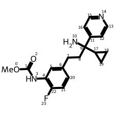 COC(=O)Nc1cc(CCC(N)(c2ccncc2)C2CC2)ccc1F